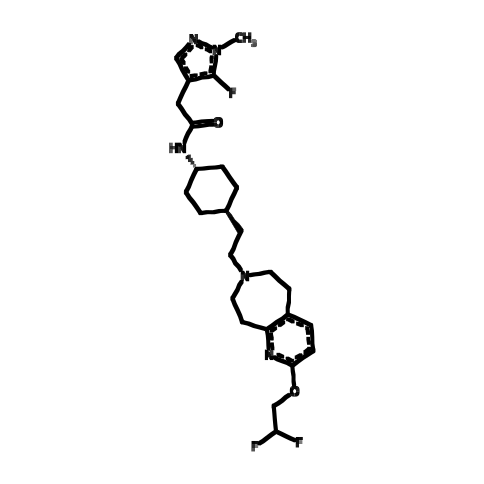 Cn1ncc(CC(=O)N[C@H]2CC[C@H](CCN3CCc4ccc(OCC(F)F)nc4CC3)CC2)c1F